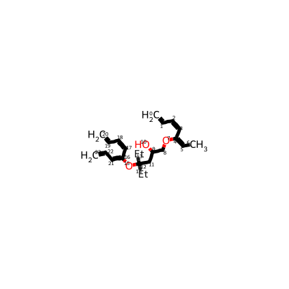 C=C/C=C\C(=C/C)OCC(O)CC(CC)(CC)OC(/C=C\C=C)=C/C=C